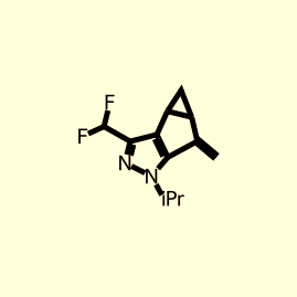 C=C1c2c(c(C(F)F)nn2C(C)C)C2CC12